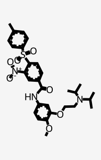 COc1ccc(NC(=O)c2ccc(S(=O)(=O)c3ccc(C)cc3)c([N+](=O)[O-])c2)cc1OCCN(C(C)C)C(C)C